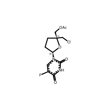 CC(=O)OC[C@]1(CCl)CC[C@H](n2cc(F)c(=O)[nH]c2=O)O1